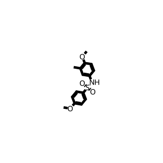 COc1ccc(S(=O)(=O)Nc2ccc(OC)c(C)c2)cc1